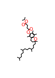 Cc1c(C)c2c(c(C)c1OC(=O)CCC(=O)OC(C)C)CCC(C)(CCCC(C)CCCC(C)CCCC(C)C)O2